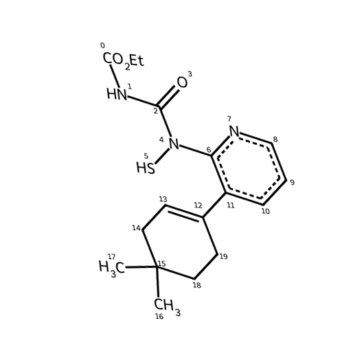 CCOC(=O)NC(=O)N(S)c1ncccc1C1=CCC(C)(C)CC1